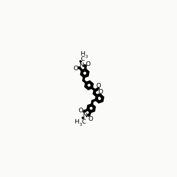 CCN1C(=O)c2ccc(Cc3ccc(-c4cc5c(Cc6ccc7c(c6)C(=O)N(CC)C7=O)cccc5oc4=O)cc3)cc2C1=O